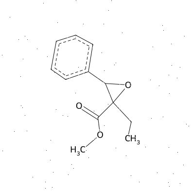 CCC1(C(=O)OC)OC1c1ccccc1